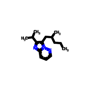 CCCC(C)Cc1c(C(C)C)nc2cccnn12